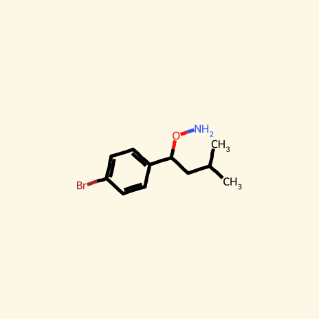 CC(C)CC(ON)c1ccc(Br)cc1